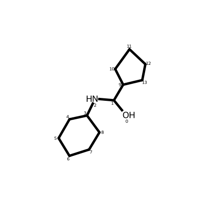 OC(NC1CCCCC1)C1CCCC1